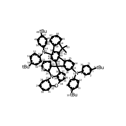 CC(C)(C)c1ccc(N(c2ccc(C(C)(C)C)cc2)c2ccc3c(c2)C2(c4cccnc4N4c5ccccc5Oc5cccc2c54)c2cc(N(c4ccc(C(C)(C)C)cc4)c4ccc(C(C)(C)C)cc4)c4c(c2-3)C(C)(C)c2ccccc2-4)cc1